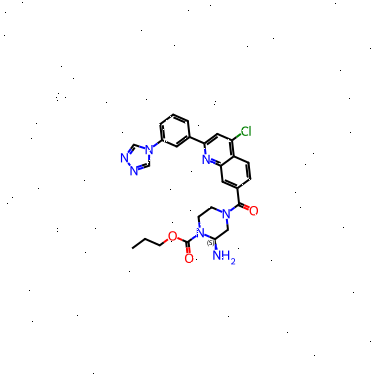 CCCOC(=O)N1CCN(C(=O)c2ccc3c(Cl)cc(-c4cccc(-n5cnnc5)c4)nc3c2)C[C@H]1N